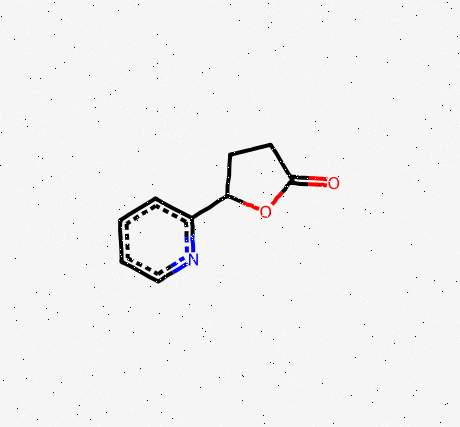 O=C1CCC(c2ccccn2)O1